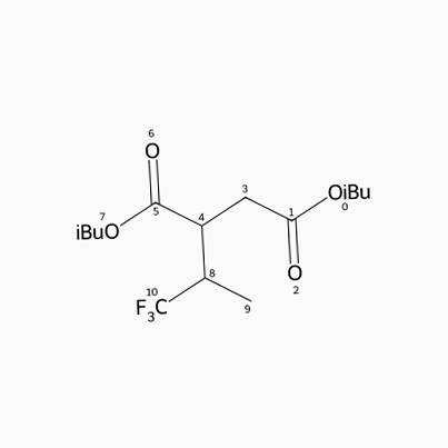 CC(C)COC(=O)CC(C(=O)OCC(C)C)C(C)C(F)(F)F